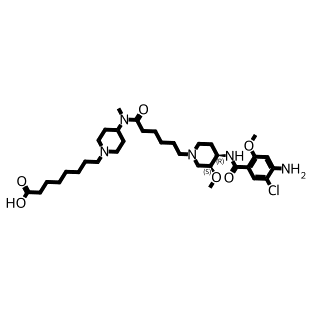 COc1cc(N)c(Cl)cc1C(=O)N[C@@H]1CCN(CCCCCC(=O)N(C)C2CCN(CCCCCCCC(=O)O)CC2)C[C@@H]1OC